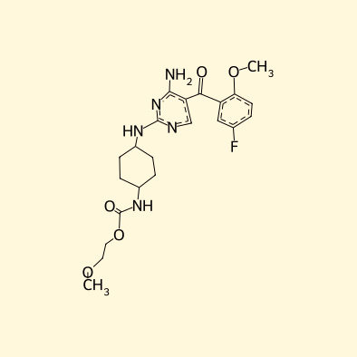 COCCOC(=O)NC1CCC(Nc2ncc(C(=O)c3cc(F)ccc3OC)c(N)n2)CC1